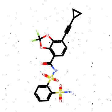 NS(=O)(=O)c1ccccc1S(=O)(=O)NC(=O)c1ccc(C#CC2CC2)c2c1OC(F)(F)O2